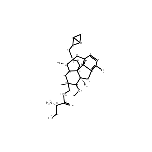 COC1[C@@H]2Oc3c(O)ccc4c3C23CCN(CC2C5CC52)[C@H](C4)C3C[C@@]1(C)CNC(=O)[C@@H](N)CO